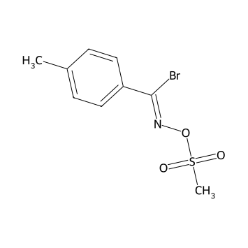 Cc1ccc(C(Br)=NOS(C)(=O)=O)cc1